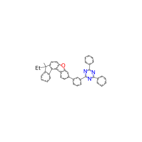 CCC1(C)c2ccccc2-c2c1ccc1oc3cc(-c4cccc(-c5nc(-c6ccccc6)nc(-c6ccccc6)n5)c4)ccc3c21